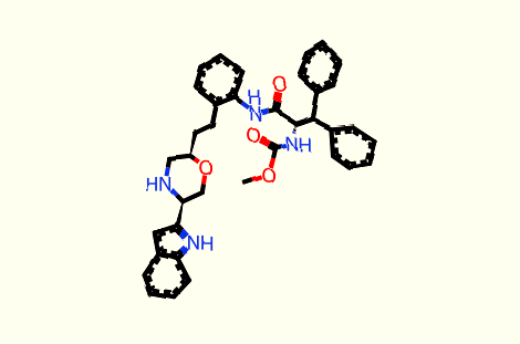 COC(=O)N[C@H](C(=O)Nc1ccccc1CC[C@@H]1CN[C@H](c2cc3ccccc3[nH]2)CO1)C(c1ccccc1)c1ccccc1